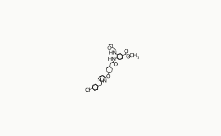 COC(=O)c1ccc(NC(=O)CC2CCC(Oc3ccnc(Cc4ccc(Cl)cc4)n3)CC2)c(NCC2CCO2)c1